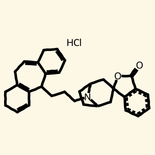 Cl.O=C1OC2(CC3CCC(C2)N3CCCC2C3=CC=CCC3=CCC3=C2C=CCC3)c2ccccc21